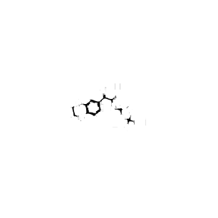 CC(NC(=O)OC(C)(C)C)C(=O)c1ccc2c(c1)OCCO2